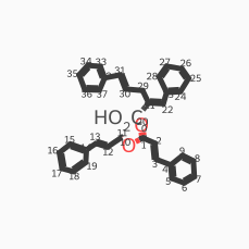 O=C(C=Cc1ccccc1)OCC=Cc1ccccc1.O=C(O)C(=Cc1ccccc1)CC=Cc1ccccc1